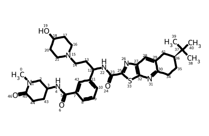 CN1CC(NC(=O)c2cccc(C(CCN3CCC(O)CC3)NC(=O)c3nc4cc5c(nc4s3)CC[C@H](C(C)(C)C)C5)c2)CCC1=O